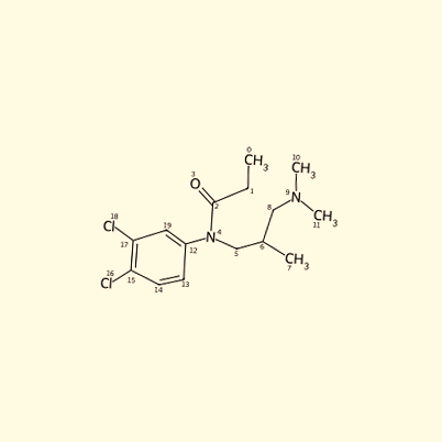 CCC(=O)N(CC(C)CN(C)C)c1ccc(Cl)c(Cl)c1